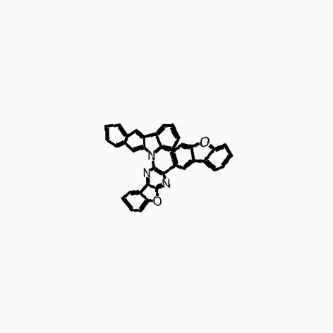 c1ccc2cc3c(cc2c1)c1ccccc1n3-c1nc2c(nc1-c1ccc3oc4ccccc4c3c1)oc1ccccc12